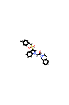 CCN(Cc1ccccc1)C(=O)Cn1cc(S(=O)(=O)Cc2ccc(C)cc2)c2ccccc21